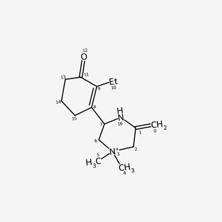 C=C1C[N+](C)(C)CC(C2=C(CC)C(=O)CCC2)N1